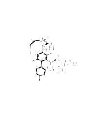 COC(=O)[C@@H](OC(C)(C)C)c1c(C)c2c(c(C)c1-c1ccc(C)cc1)OC/C=C\CS(=O)(=O)N2